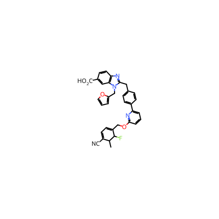 CC1C(C#N)=CC=C(COc2cccc(-c3ccc(Cc4nc5ccc(C(=O)O)cc5n4Cc4ccco4)cc3)n2)C1F